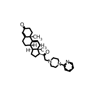 C[C@]12CCC(=O)C=C1CC[C@@H]1C2=CC[C@]2(C)[C@@H](C(=O)CN3CCN(c4ccccn4)CC3)CC[C@@H]12